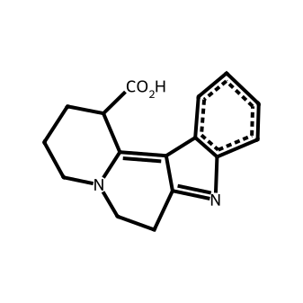 O=C(O)C1CCCN2CCC3=Nc4ccccc4C3=C12